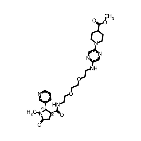 COC(=O)C1CCN(c2cnc(NCCOCCOCCNC(=O)[C@H]3CC(=O)N(C)[C@@H]3c3cccnc3)cn2)CC1